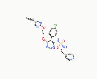 CSc1cnc(OCCOc2ncnc(NS(=O)(=O)NCc3ccncc3)c2-c2ccc(Cl)cc2)nc1